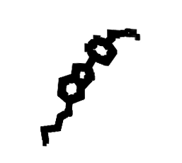 CNc1ccc(-c2cc3ccc(OCCCF)cc3s2)nn1